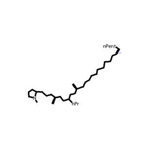 C=C(CCCCCCCCCC/C=C\CCCCC)CCC(CCC)CCC(=C)CCCC1CCCN1C